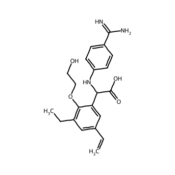 C=Cc1cc(CC)c(OCCO)c(C(Nc2ccc(C(=N)N)cc2)C(=O)O)c1